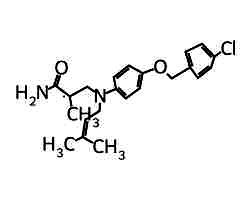 C[C](CN(CC=C(C)C)c1ccc(OCc2ccc(Cl)cc2)cc1)C(N)=O